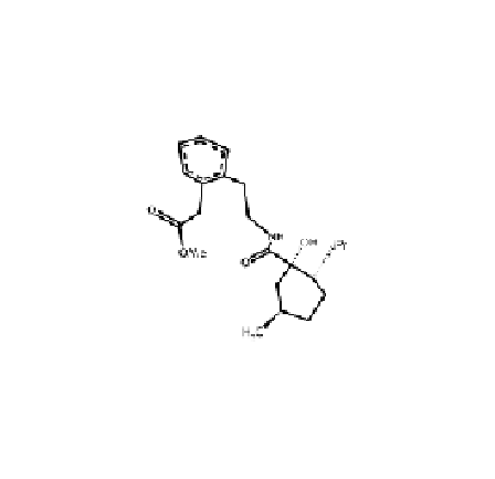 COC(=O)Cc1ccccc1CCNC(=O)[C@]1(O)C[C@H](C)CC[C@H]1C(C)C